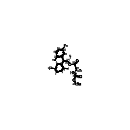 Cc1ccc(F)cc1C(c1cc(F)ccc1C)[C@H](C)OC(=O)[C@H](C)NC(=O)OC(C)(C)C